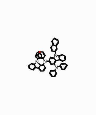 c1ccc(N(c2ccccc2)c2cc(N(c3ccccc3)c3cccc4c5ccccc5n(-c5ccccc5)c34)cc3c2c2ccccc2n3-c2ccc3ccccc3c2)cc1